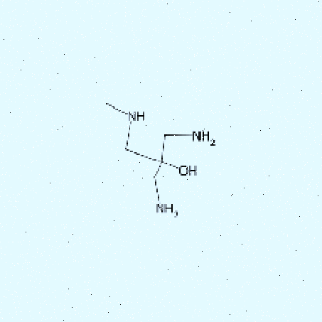 CNCC(O)(CN)CN